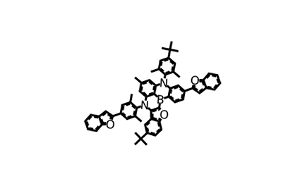 Cc1cc2c3c(c1)N(c1c(C)cc(-c4cc5ccccc5o4)cc1C)c1c(oc4ccc(C(C)(C)C)cc14)B3c1ccc(-c3cc4ccccc4o3)cc1N2c1c(C)cc(C(C)(C)C)cc1C